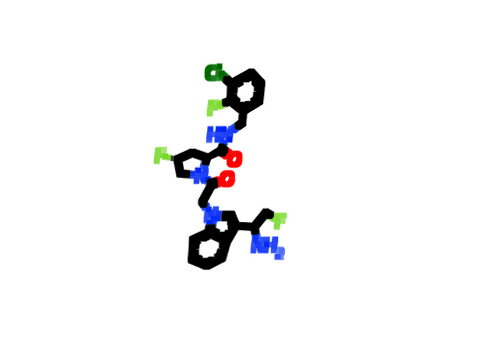 NC(CF)c1cn(CC(=O)N2C[C@H](F)C[C@H]2C(=O)NCc2cccc(Cl)c2F)c2ccccc12